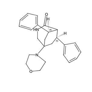 O=C1NCC2(N3CCOCC3)C[C@H](c3ccccc3)C1[C@H](c1ccccc1)C2